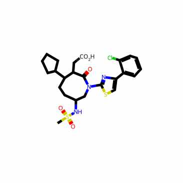 CS(=O)(=O)NC1CCC(C2CCCC2)C(CC(=O)O)C(=O)N(c2nc(-c3ccccc3Cl)cs2)C1